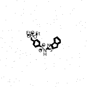 CCOP(=O)(Cc1ccc(S(=O)(=O)Nc2nc3c(s2)Cc2ccccc2-3)cc1)OCC